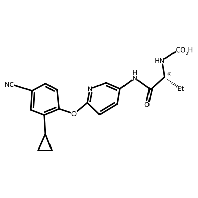 CC[C@@H](NC(=O)O)C(=O)Nc1ccc(Oc2ccc(C#N)cc2C2CC2)nc1